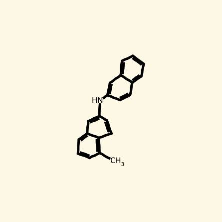 Cc1cccc2cc(Nc3ccc4ccccc4c3)ccc12